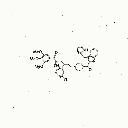 COc1cc(C(=O)N(C)CC(CCN2CCC(C(=O)c3nc4ccccc4n3Cc3ncc[nH]3)CC2)c2cccc(Cl)c2)cc(OC)c1OC